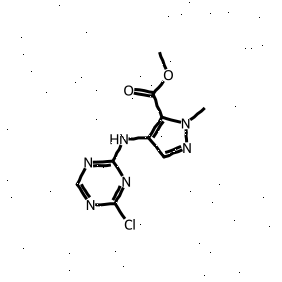 COC(=O)c1c(Nc2ncnc(Cl)n2)cnn1C